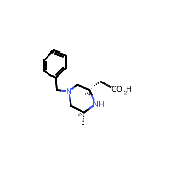 C[C@@H]1CN(Cc2ccccc2)C[C@H](CC(=O)O)N1